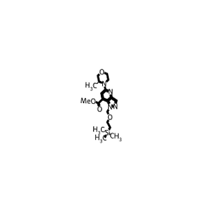 COC(=O)c1cc(N2CCOC[C@H]2C)nc2cnn(COCC[Si](C)(C)C)c12